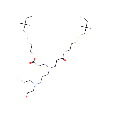 CC(C)CC(C)(C)CSSCCOC(=O)CCN(CCCN(CCO)CCO)CCC(=O)OCCSSCC(C)(C)CC(C)C